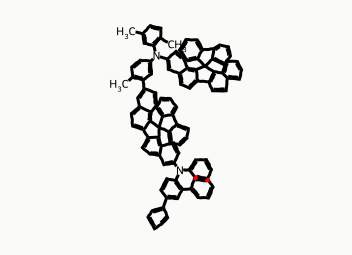 Cc1ccc(C)c(N(c2ccc(C)c(-c3ccc4c5c(ccc4c3)-c3ccc4cc(N(c6ccccc6)c6ccc(-c7ccccc7)cc6-c6ccccc6)ccc4c3C53c4ccccc4-c4ccccc43)c2)c2ccc3c4c(ccc3c2)-c2ccc3ccccc3c2C42c3ccccc3-c3ccccc32)c1